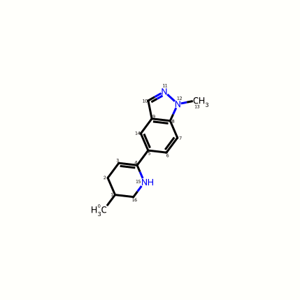 CC1CC=C(c2ccc3c(cnn3C)c2)NC1